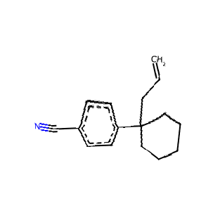 C=CCC1(c2ccc(C#N)cc2)CCCCC1